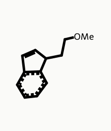 COCCC1C=Cc2ccccc21